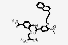 CC(C)COc1cc(C(N)=O)ccc1NC(=O)c1ccc([N+](=O)[O-])c(OCCc2ccc3ccccc3c2)c1